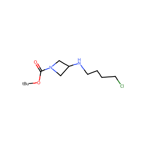 CC(C)(C)OC(=O)N1CC(NCCCCCl)C1